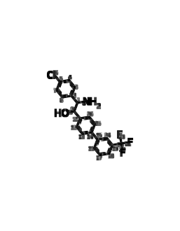 NC(c1ccc(Cl)cc1)C(O)c1ccc(-c2cccc(C(F)(F)F)c2)cc1